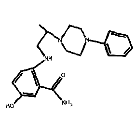 CC(CNc1ccc(O)cc1C(N)=O)N1CCN(c2ccccc2)CC1